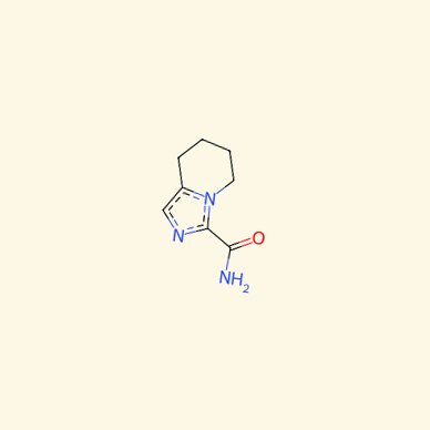 NC(=O)c1ncc2n1CCCC2